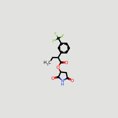 CCC(C(=O)OC1CC(=O)NC1=O)c1cccc(C(F)(F)F)c1